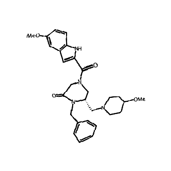 COc1ccc2[nH]c(C(=O)N3CC(=O)N(Cc4ccccc4)[C@@H](CN4CCC(OC)CC4)C3)cc2c1